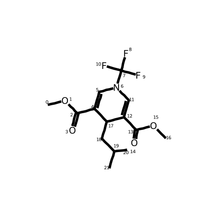 COC(=O)C1=CN(C(F)(F)F)C=C(C(=O)OC)C1CC(C)C